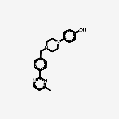 Cc1ccnc(-c2ccc(CN3CCN(c4ccc(O)cc4)CC3)cc2)n1